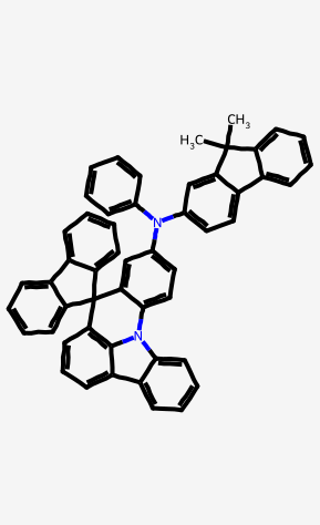 CC1(C)c2ccccc2-c2ccc(N(c3ccccc3)c3ccc4c(c3)C3(c5ccccc5-c5ccccc53)c3cccc5c6ccccc6n-4c35)cc21